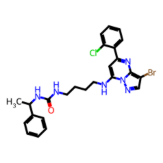 CC(NC(=O)NCCCCNc1cc(-c2ccccc2Cl)nc2c(Br)cnn12)c1ccccc1